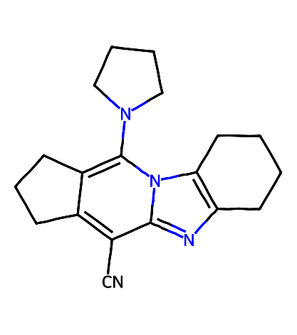 N#Cc1c2c(c(N3CCCC3)n3c4c(nc13)CCCC4)CCC2